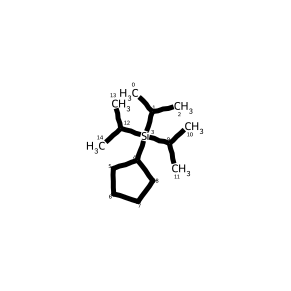 CC(C)[Si]([C]1CCCC1)(C(C)C)C(C)C